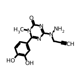 C#CCN(N)c1nc(-c2ccc(O)c(O)c2)n(C)c(=O)n1